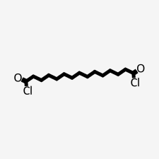 O=C(Cl)CCCCCCCCCCCCCC(=O)Cl